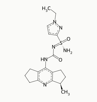 CCn1ccc([S@@](N)(=O)=NC(=O)Nc2c3c(nc4c2CC[C@H]4C)CCC3)n1